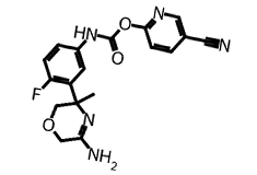 CC1(c2cc(NC(=O)Oc3ccc(C#N)cn3)ccc2F)COCC(N)=N1